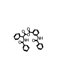 O=C(Nc1cccc(C(=O)OC(=O)C(NC(=O)c2ccccc2)c2ccccc2)c1)c1ccccc1